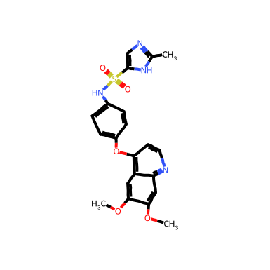 COc1cc2nccc(Oc3ccc(NS(=O)(=O)c4cnc(C)[nH]4)cc3)c2cc1OC